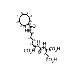 O=C(O)CC[C@H](NC(=O)N[C@@H](CCCCNC(=O)C1CCCCCCCC1)C(=O)O)C(=O)O